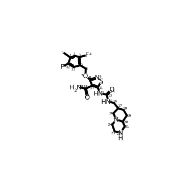 Cc1cc(F)c(COc2nsc(NC(=O)NCC3CCC4CNCCN4C3)c2C(N)=O)cc1F